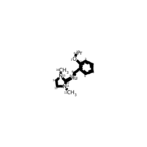 CC(C)Oc1ccccc1[CH]=[Ru]=[C]1N(C)CCN1C